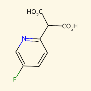 O=C(O)C(C(=O)O)c1ccc(F)cn1